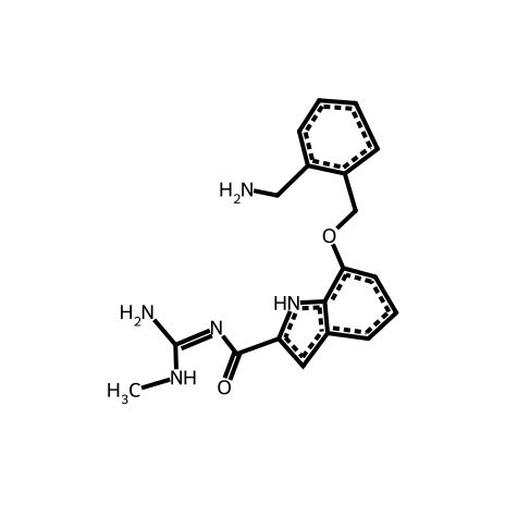 CNC(N)=NC(=O)c1cc2cccc(OCc3ccccc3CN)c2[nH]1